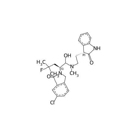 CN(CC[C@H]1C(=O)Nc2ccccc21)C(O)[C@H](CC(C)(C)F)N1Cc2ccc(Cl)cc2C1=O